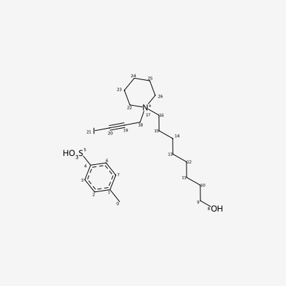 Cc1ccc(S(=O)(=O)O)cc1.OCCCCCCCC[N+]1(CC#CI)CCCCC1